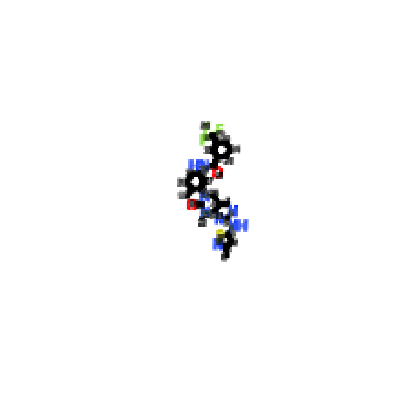 Cc1cc(Nc2ncc3c(n2)N(C)C(=O)N(c2cc(NC(=O)c4cccc(C(F)(F)F)c4)ccc2C)C3)sn1